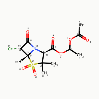 CC(OC(=O)C(C)C)OC(=O)[C@@H]1N2C(=O)[C@@H](Cl)[C@H]2S(=O)(=O)C1(C)C